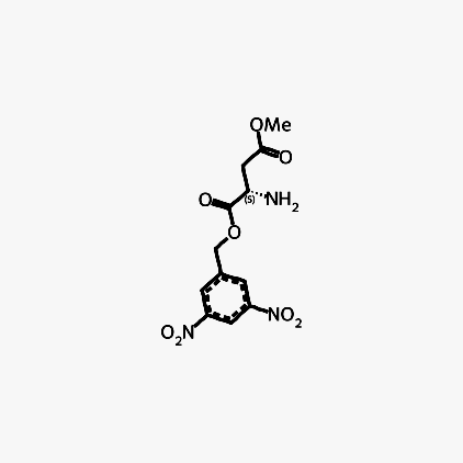 COC(=O)C[C@H](N)C(=O)OCc1cc([N+](=O)[O-])cc([N+](=O)[O-])c1